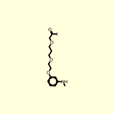 CNc1cccc(OCCOCCCOCC(=O)I)c1